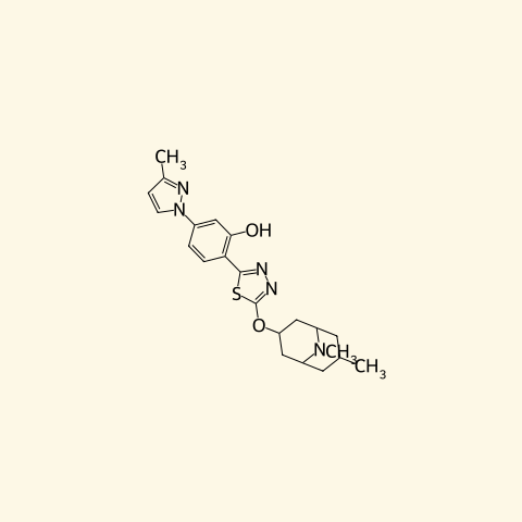 Cc1ccn(-c2ccc(-c3nnc(OC4CC5CC(C)CC(C4)N5C)s3)c(O)c2)n1